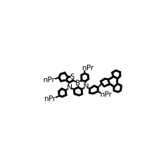 CCCc1ccc(N2c3cccc4c3B(c3cc(CCC)ccc3N4c3ccc(CCC)c(-c4ccc5c6ccccc6c6ccccc6c5c4)c3)c3sc4ccc(CCC)cc4c32)cc1